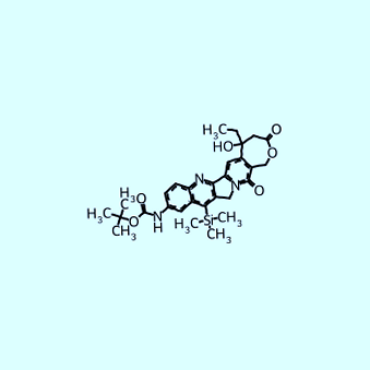 CCC1(O)CC(=O)OCc2c1cc1n(c2=O)Cc2c-1nc1ccc(NC(=O)OC(C)(C)C)cc1c2[Si](C)(C)C